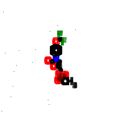 CS(=O)(=O)OC[C@@H]1CN(c2ccc(OC(F)F)cc2)C(=O)O1